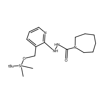 CC(C)(C)[Si](C)(C)OCc1cccnc1NNC(=O)N1CCCCCC1